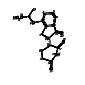 C[C@@H](Oc1cccc2c1CN([C@H]1CCC(=O)NC1=O)C2=O)C(=O)O